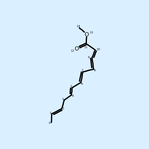 CC=CCC=CC=CC=C=CC(=O)OC